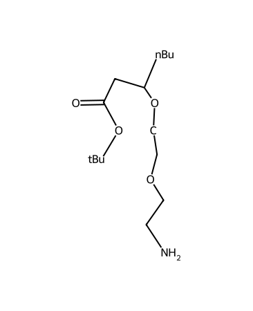 CCCCC(CC(=O)OC(C)(C)C)OCCOCCN